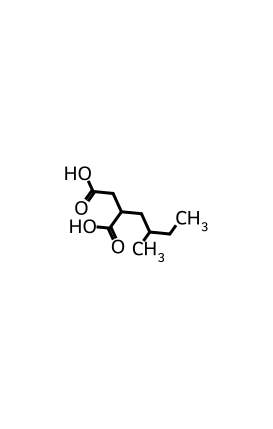 CCC(C)CC(CC(=O)O)C(=O)O